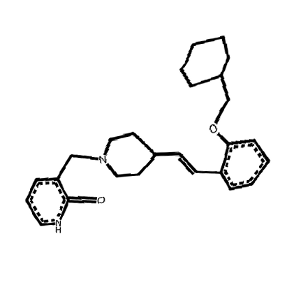 O=c1[nH]cccc1CN1CCC(C=Cc2ccccc2OCC2CCCCC2)CC1